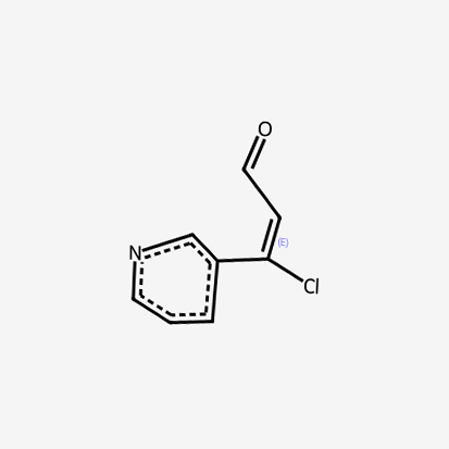 O=C/C=C(/Cl)c1cccnc1